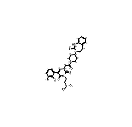 C[S+]([O-])CCn1c(=O)c(-c2cccc(Cl)c2Cl)cn(CC(=O)N2CCC(N3CCc4ccccc4NC3=O)CC2)c1=O